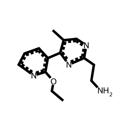 CCOc1ncccc1-c1nc(CCN)ncc1C